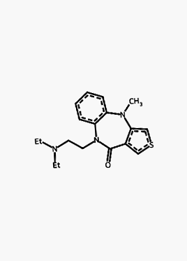 CCN(CC)CCN1C(=O)c2cscc2N(C)c2ccccc21